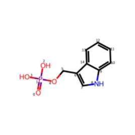 O=P(O)(O)OCc1c[nH]c2ccccc12